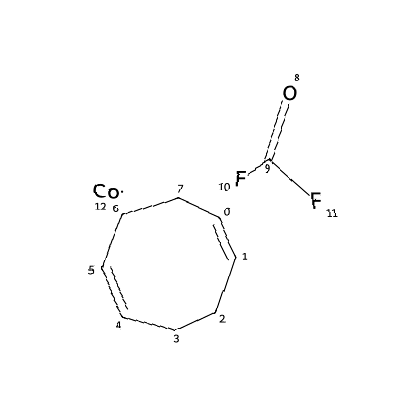 C1=C\CC/C=C\CC/1.O=C(F)F.[Co]